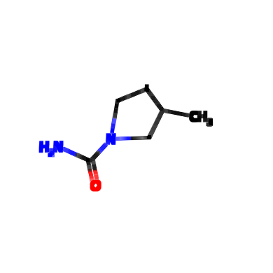 CC1[CH]CN(C(N)=O)C1